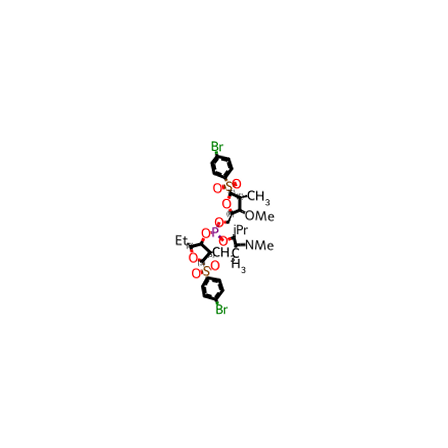 CC[C@H]1O[C@@H](S(=O)(=O)c2ccc(Br)cc2)[C@@H](C)C1OP(OC[C@H]1O[C@@H](S(=O)(=O)c2ccc(Br)cc2)[C@@H](C)C1OC)OC(C(C)C)C(C)NC